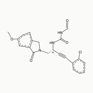 COc1ccc2c(c1)C(=O)N(C[C@@H](C#Cc1ccccc1Cl)NC(=O)NC=O)C2